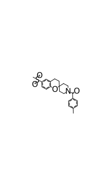 Cc1ccc(C(=O)N2CCC3(CCc4cc(S(C)(=O)=O)ccc4O3)CC2)cc1